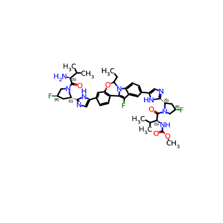 CCC1Oc2cc(-c3cnc([C@@H]4C[C@@H](F)CN4C(=O)[C@@H](N)C(C)C)[nH]3)ccc2-c2c(F)c3cc(-c4cnc([C@@H]5C[C@@H](F)CN5C(=O)[C@@H](NC(=O)OC)C(C)C)[nH]4)ccc3n21